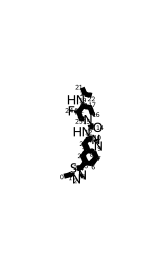 Cc1nnc(-c2ccc3nnc(NC(=O)N4CC[C@H](NC(C)C)[C@H](F)C4)cc3c2)s1